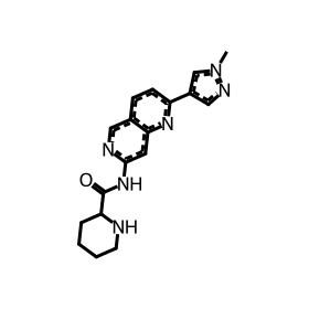 Cn1cc(-c2ccc3cnc(NC(=O)C4CCCCN4)cc3n2)cn1